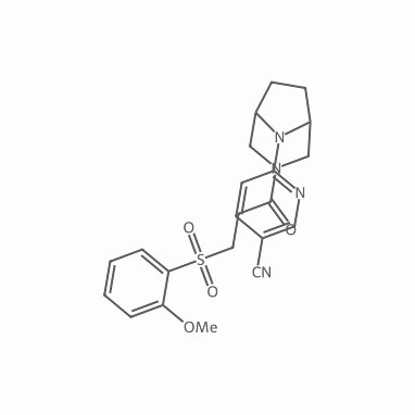 COc1ccccc1S(=O)(=O)CCC(=O)N1CC2CCC(C1)N2c1ccc(C#N)cn1